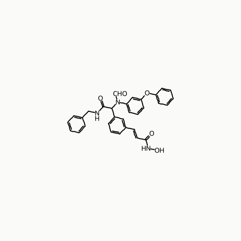 O=CN(c1cccc(Oc2ccccc2)c1)C(C(=O)NCc1ccccc1)c1cccc(C=CC(=O)NO)c1